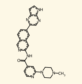 CN1CCN(c2cc(C(=O)Nc3cc4cc(-c5cnc6[nH]ccc6n5)ccc4cn3)ccn2)CC1